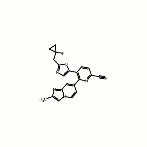 Cc1cn2ccc(-c3nc(C#N)ccc3-c3cnc(CC4(F)CC4)o3)cc2n1